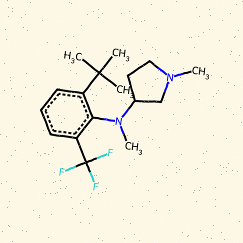 CN1CCC(N(C)c2c(C(C)(C)C)cccc2C(F)(F)F)C1